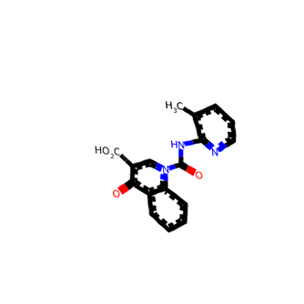 Cc1cccnc1NC(=O)n1cc(C(=O)O)c(=O)c2ccccc21